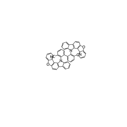 N#Cc1cccc(-c2cccc(C#N)c2-n2c3ccccc3c3ccc4oc5ccccc5c4c32)c1-n1c2ccccc2c2ccc3oc4ccccc4c3c21